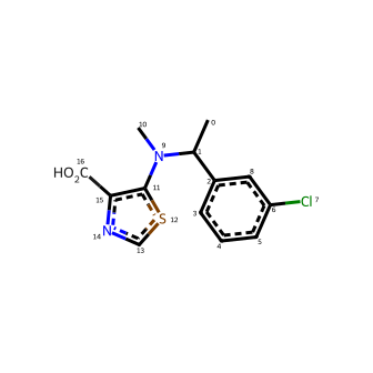 CC(c1cccc(Cl)c1)N(C)c1scnc1C(=O)O